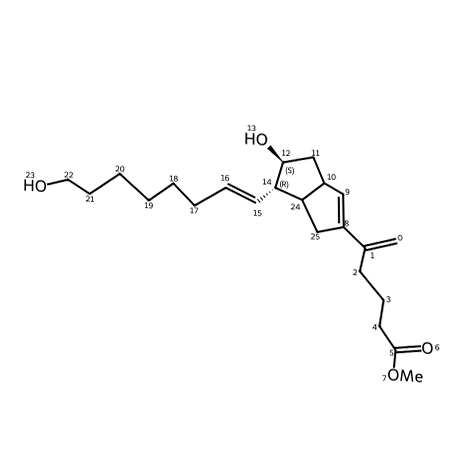 C=C(CCCC(=O)OC)C1=CC2C[C@H](O)[C@@H](C=CCCCCCCO)C2C1